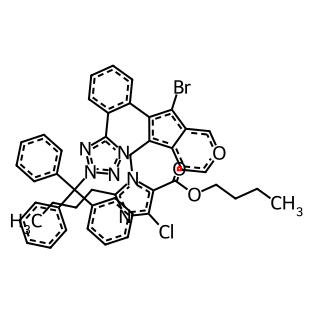 CCCCOC(=O)c1c(Cl)nc(CCCC)n1Cc1c2ccocc-2c(Br)c1-c1ccccc1-c1nnn(C(c2ccccc2)(c2ccccc2)c2ccccc2)n1